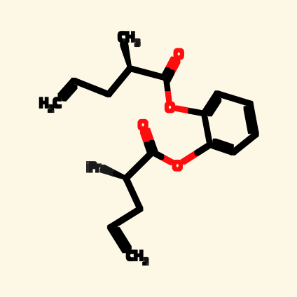 C=CC[C@@H](C)C(=O)Oc1ccccc1OC(=O)[C@@H](CC=C)C(C)C